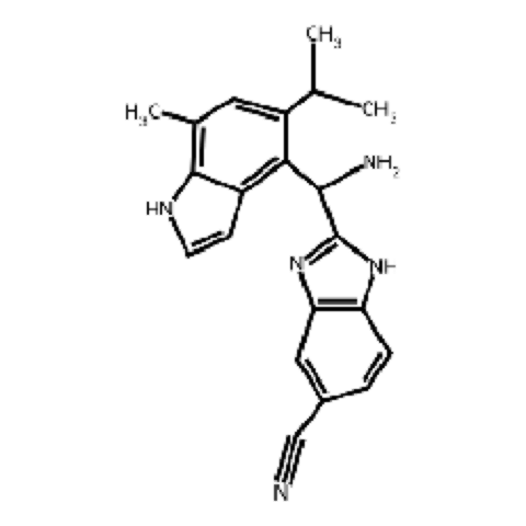 Cc1cc(C(C)C)c(C(N)c2nc3cc(C#N)ccc3[nH]2)c2cc[nH]c12